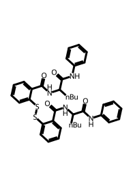 CCCCC(NC(=O)c1ccccc1SSc1ccccc1C(=O)NC(CCCC)C(=O)Nc1ccccc1)C(=O)Nc1ccccc1